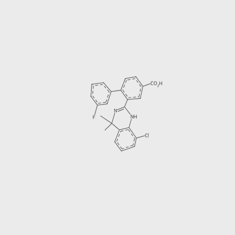 CC1(C)N=C(c2cc(C(=O)O)ccc2-c2cccc(F)c2)Nc2c(Cl)cccc21